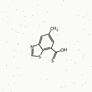 Cc1cc(C(O)=S)c2scnc2c1